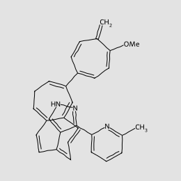 C=C1C=CC(C2=CCC=C3\C=C/C(c4c[nH]nc4-c4cccc(C)n4)=C/C=C/C3=C2)=CC=C1OC